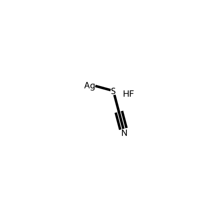 F.N#C[S][Ag]